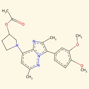 COc1ccc(-c2c(C)nc3c(N4CCC(OC(C)=O)C4)cc(C)nn23)cc1OC